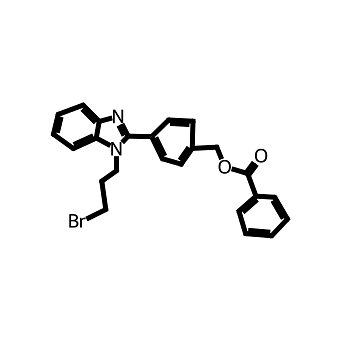 O=C(OCc1ccc(-c2nc3ccccc3n2CCCBr)cc1)c1ccccc1